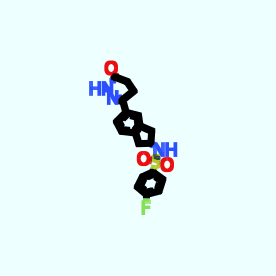 O=C1CCC(c2ccc3c(c2)CC(NS(=O)(=O)c2ccc(F)cc2)C3)=NN1